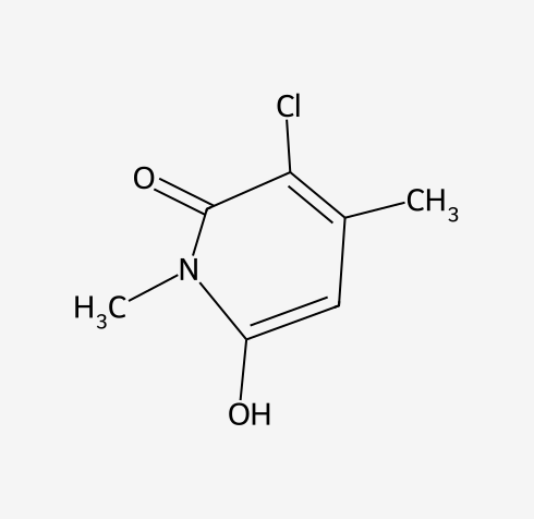 Cc1cc(O)n(C)c(=O)c1Cl